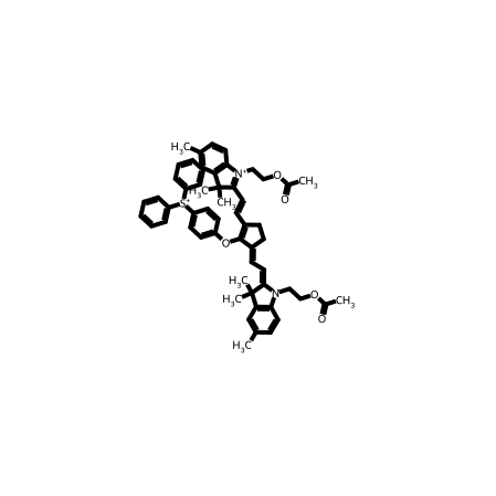 CC(=O)OCCN1/C(=C/C=C2\CCC(/C=C/C3=[N+](CCOC(C)=O)c4ccc(C)cc4C3(C)C)=C2Oc2ccc([S+](c3ccccc3)c3ccccc3)cc2)C(C)(C)c2cc(C)ccc21